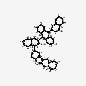 c1ccc2cc(-c3c4ccccc4c(-c4cc(-c5ccc6oc7cc8ccccc8cc7c6c5)c5ccccc5c4)c4ccccc34)ccc2c1